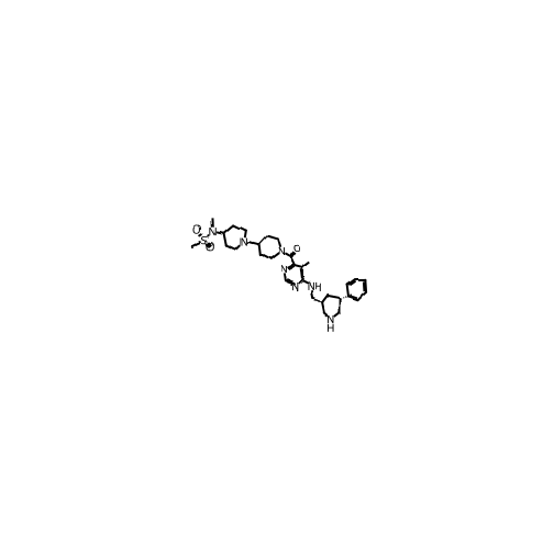 Cc1c(NC[C@@H]2CNC[C@@H](c3ccccc3)C2)ncnc1C(=O)N1CCC(N2CCC(N(C)S(C)(=O)=O)CC2)CC1